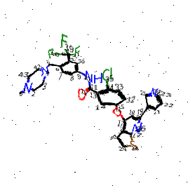 CN1CCN(Cc2ccc(NC(=O)c3cc(Oc4cc(-c5cccnc5)nc5sccc45)ccc3Cl)cc2C(F)(F)F)CC1